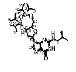 CC(C)CNc1nc2c(ncn2[C@H]2C[C@H]3O[Si](C(C)C)(C(C)C)O[Si](C(C)C)(C(C)C)OCC3O2)c(=O)[nH]1